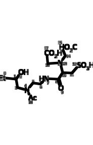 CCC(O)CN(CCNC(=O)C(CS(=O)(=O)O)N(CC(=O)O)CC(=O)O)C(C)=O